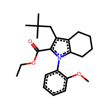 CCOC(=O)c1c(CC(C)(C)C)c2c(n1-c1ccccc1OC)CCCC2